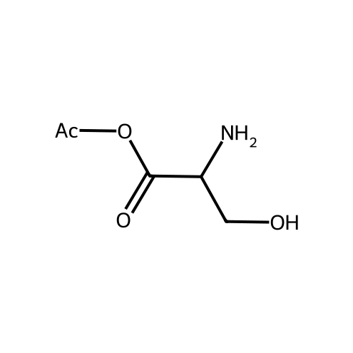 CC(=O)OC(=O)C(N)CO